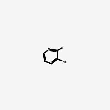 CC(=O)c1cccnc1I